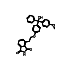 COc1ccc(C(O)(c2ccccc2)c2ccc(OCCc3cccc4c3C(=O)NC4=O)cc2)cc1